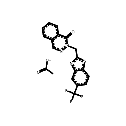 CC(=O)O.O=c1c2ccccc2cnn1Cc1nc2cc(C(F)(F)F)ccc2s1